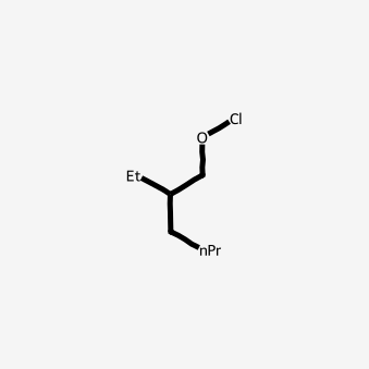 CCCCC(CC)COCl